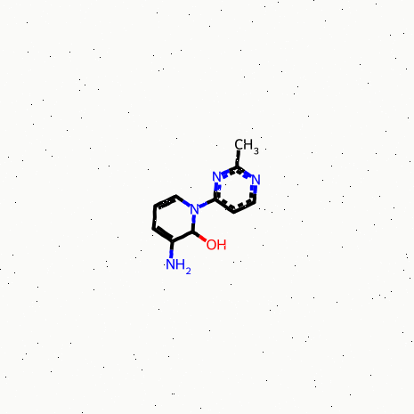 Cc1nccc(N2C=CC=C(N)C2O)n1